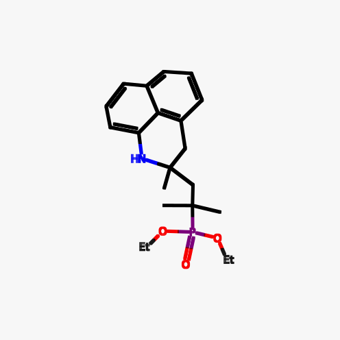 CCOP(=O)(OCC)C(C)(C)CC1(C)Cc2cccc3cccc(c23)N1